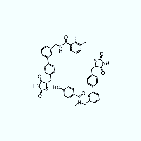 CN(Cc1cccc(-c2ccc(CC3SC(=O)NC3=O)cc2)c1)C(=O)c1ccc(O)cc1.Cc1cccc(C(=O)NCc2cccc(-c3ccc(CC4SC(=O)NC4=O)cc3)c2)c1C